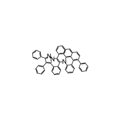 c1ccc(-c2ccc3cccc4c3c2-c2ccccc2N4c2c(-c3ccccc3)n3nc(-c4ccccc4)c(-c4ccccc4)c3c3ccccc23)cc1